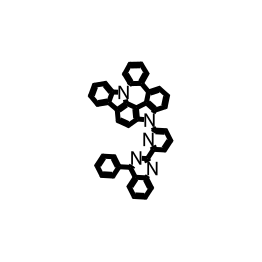 c1ccc(-c2nc(-c3cccc(-n4c5cccc6c7ccccc7n7c8ccccc8c8ccc4c(c65)c87)n3)nc3ccccc23)cc1